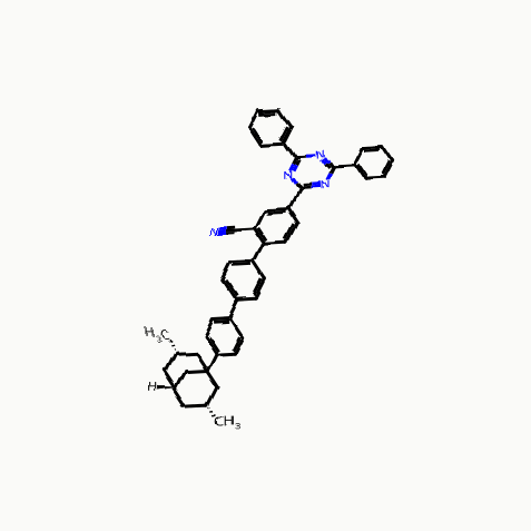 C[C@@H]1C[C@@H]2C[C@H](C)CC(c3ccc(-c4ccc(-c5ccc(-c6nc(-c7ccccc7)nc(-c7ccccc7)n6)cc5C#N)cc4)cc3)(C1)C2